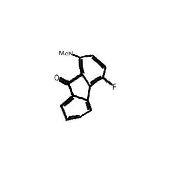 CNc1ccc(F)c2c1C(=O)c1ccccc1-2